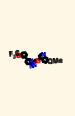 COc1ccc2c(OCc3nnc4ccc(-c5cccc(OC(F)(F)F)c5)cn34)ccnc2c1